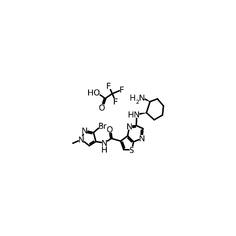 Cn1cc(NC(=O)c2csc3ncc(N[C@@H]4CCCC[C@@H]4N)nc23)c(Br)n1.O=C(O)C(F)(F)F